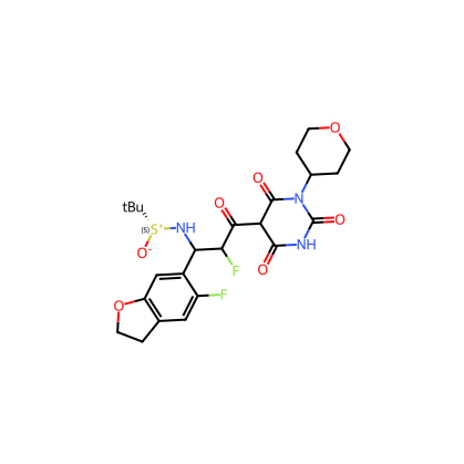 CC(C)(C)[S@@+]([O-])NC(c1cc2c(cc1F)CCO2)C(F)C(=O)C1C(=O)NC(=O)N(C2CCOCC2)C1=O